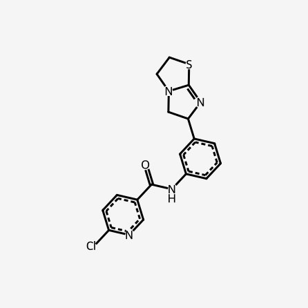 O=C(Nc1cccc(C2CN3CCSC3=N2)c1)c1ccc(Cl)nc1